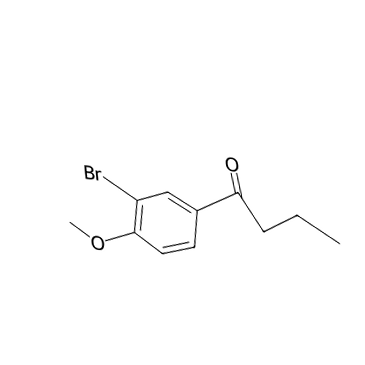 CCCC(=O)c1ccc(OC)c(Br)c1